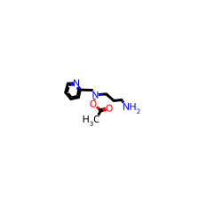 CC(=O)ON(CCCN)Cc1ccccn1